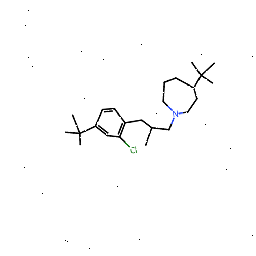 CC(Cc1ccc(C(C)(C)C)cc1Cl)CN1CCCC(C(C)(C)C)CC1